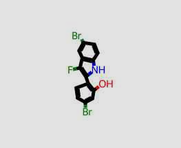 Oc1cc(Br)ccc1-c1[nH]c2ccc(Br)cc2c1F